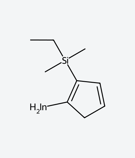 CC[Si](C)(C)C1=[C]([InH2])CC=C1